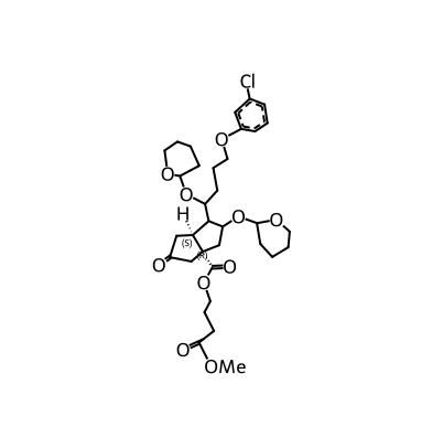 COC(=O)CCCOC(=O)[C@]12CC(=O)C[C@H]1C(C(CCCOc1cccc(Cl)c1)OC1CCCCO1)C(OC1CCCCO1)C2